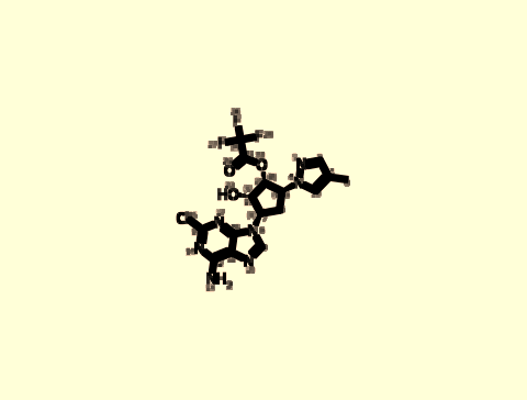 Cc1cnn([C@H]2C[C@@H](n3cnc4c(N)nc(Cl)nc43)[C@H](O)[C@@H]2OC(=O)C(F)(F)F)c1